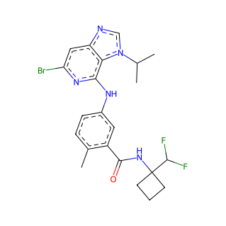 Cc1ccc(Nc2nc(Br)cc3ncn(C(C)C)c23)cc1C(=O)NC1(C(F)F)CCC1